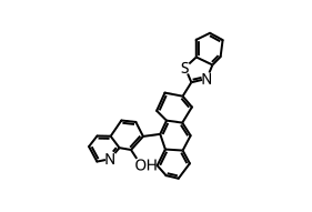 Oc1c(-c2c3ccccc3cc3cc(-c4nc5ccccc5s4)ccc23)ccc2cccnc12